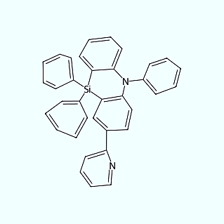 c1ccc(N2c3ccccc3[Si](c3ccccc3)(c3ccccc3)c3cc(-c4ccccn4)ccc32)cc1